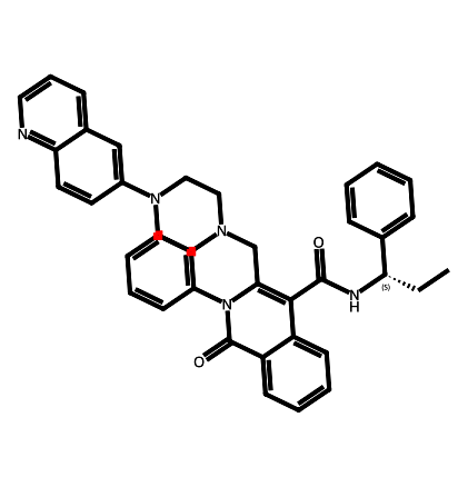 CC[C@H](NC(=O)c1c(CN2CCN(c3ccc4ncccc4c3)CC2)n(-c2ccccc2)c(=O)c2ccccc12)c1ccccc1